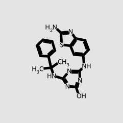 CC(C)(Nc1nc(O)nc(Nc2ccc3nc(N)sc3c2)n1)c1ccccc1